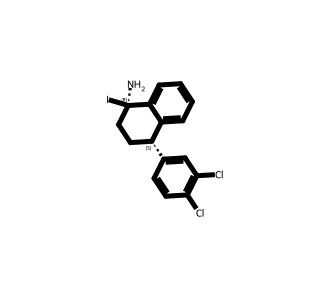 N[C@@]1(I)CC[C@@H](c2ccc(Cl)c(Cl)c2)c2ccccc21